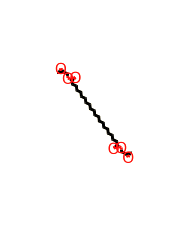 O=C(CCCCCCCCCCCCCCCCCCCCC(=O)OCC1CO1)OCC1CO1